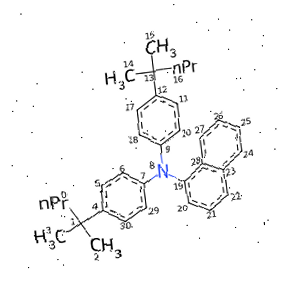 CCCC(C)(C)c1ccc(N(c2ccc(C(C)(C)CCC)cc2)c2cccc3ccccc23)cc1